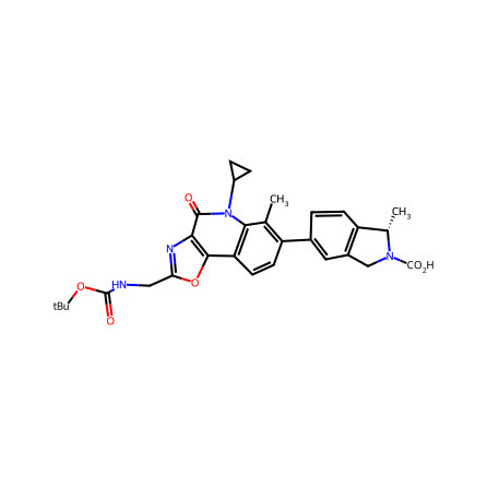 Cc1c(-c2ccc3c(c2)CN(C(=O)O)[C@H]3C)ccc2c3oc(CNC(=O)OC(C)(C)C)nc3c(=O)n(C3CC3)c12